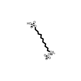 CCCCCCCCCCCCOS(=O)(=O)O.O=S(=O)([O-])O.[Li+]